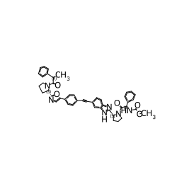 COC(=O)N[C@@H](C(=O)N1CCC[C@H]1c1nc2ccc(C#Cc3ccc(-c4cnc([C@@H]5CCCN5C(=O)[C@H](C)c5ccccc5)o4)cc3)cc2[nH]1)c1ccccc1